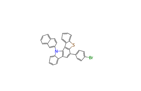 Brc1ccc(-c2cc3c4ccccc4n(-c4ccc5ccccc5c4)c3c3c2sc2ccccc23)cc1